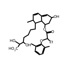 CCC(Oc1c(C)cccc1C)C(=O)OC1CC(O)C=C2C=CC(C)C(CCCCC(O)C(O)C(=O)O)C21